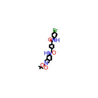 CC(C)(C)OC(=O)N1Cc2ccc(NC(=O)c3ccc(C(=O)Nc4ccc(Br)cc4)cc3)cc2C1